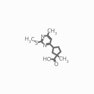 CSc1nc(C)cc(C2CCC(C)(C(=O)O)C2)n1